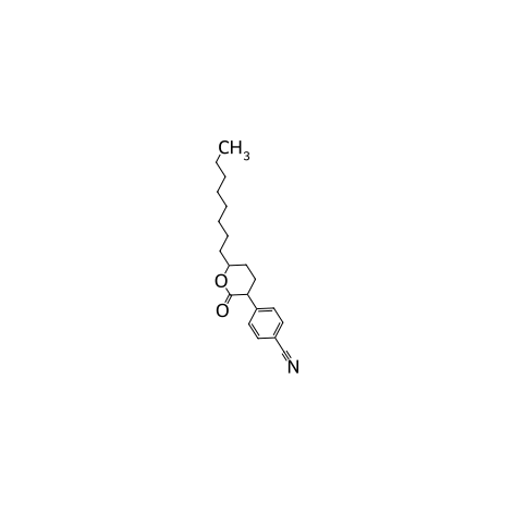 CCCCCCCCC1CCC(c2ccc(C#N)cc2)C(=O)O1